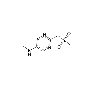 CBc1cnc(CS(C)(=O)=O)nc1